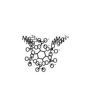 O=P([O-])([O-])OC1C(OP(=O)([O-])[O-])C(OP(=O)([O-])[O-])C(OP(=O)([O-])[O-])C(OP(=O)([O-])[O-])C1OP(=O)([O-])[O-].[Mg+2].[Mg+2].[Mg+2].[Mg+2].[Mg+2].[Mg+2]